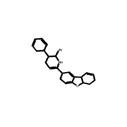 CC(C)C1NC(C2C=C3C(=CC2)OC2CCC=CC32)=CCC1C1C=CC=CC1